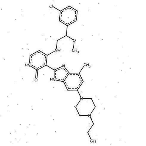 COC(CNc1cc[nH]c(=O)c1-c1nc2c(C)cc(N3CCN(CCO)CC3)cc2[nH]1)c1cccc(Cl)c1